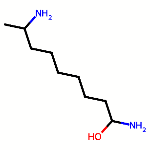 CC(N)CCCCCCC(N)O